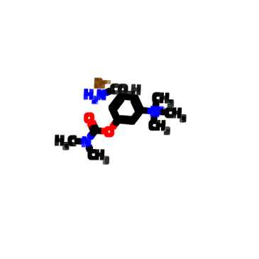 CN(C)C(=O)Oc1cccc([N+](C)(C)C)c1.NC(=O)O.[Br-]